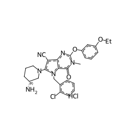 CCOc1cccc(Oc2nc3c(C#N)c(N4CCC[C@@H](N)C4)n(Cc4ccccc4Cl)c3c(=O)n2C)c1.Cl